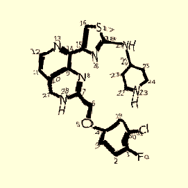 Fc1ccc(OCC2=Nc3c(ccnc3-c3csc(NC4CCNCC4)n3)CN2)cc1Cl